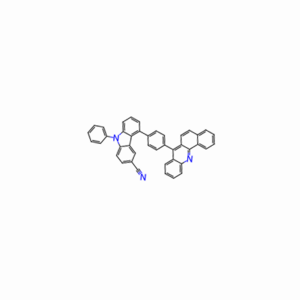 N#Cc1ccc2c(c1)c1c(-c3ccc(-c4c5ccccc5nc5c4ccc4ccccc45)cc3)cccc1n2-c1ccccc1